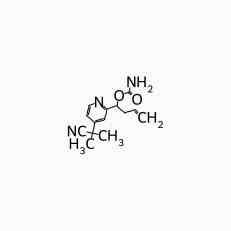 C=CCC(OC(N)=O)c1cc(C(C)(C)C#N)ccn1